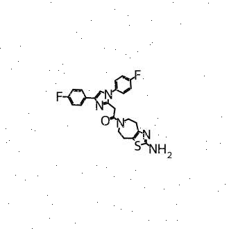 Nc1nc2c(s1)CCN(C(=O)Cc1nc(-c3ccc(F)cc3)cn1-c1ccc(F)cc1)CC2